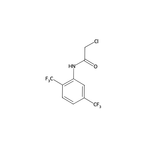 O=C(CCl)Nc1cc(C(F)(F)F)ccc1C(F)(F)F